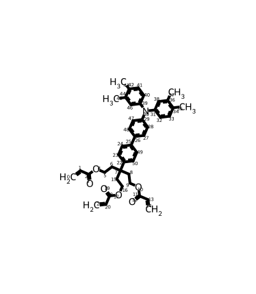 C=CC(=O)OCCC(CCOC(=O)C=C)(CCOC(=O)C=C)c1ccc(-c2ccc(N(c3ccc(C)c(C)c3)c3ccc(C)c(C)c3)cc2)cc1